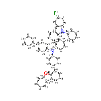 Fc1ccc2c(c1)c1ccccc1n2-c1ccccc1-c1ccc(N(c2ccc(-c3ccccc3)cc2)c2ccc(-c3cccc4c3oc3ccccc34)cc2)cc1